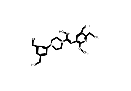 CCc1nc(OC)c(N=C(NO)N2CCN(c3cc(CO)cc(CO)c3)CC2)cc1CO